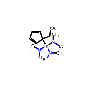 CC[N](C)[Hf]([N](C)CC)([N](C)CC)[C]1(CC(C)(C)C)C=CC=C1